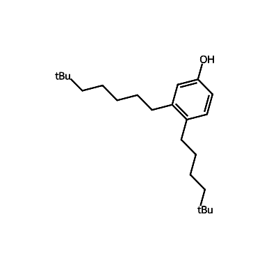 CC(C)(C)CCCCCc1cc(O)ccc1CCCCC(C)(C)C